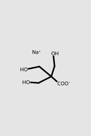 O=C([O-])C(CO)(CO)CO.[Na+]